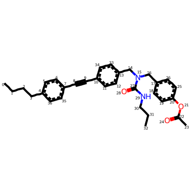 CCCCc1ccc(C#Cc2ccc(CN(Cc3ccc(OC(C)=O)cc3)C(=O)NCCC)cc2)cc1